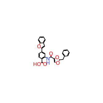 O=C(Nc1cc(-c2cc3ccccc3o2)ccc1C(=O)O)C1=COC(Cc2ccccc2)O1